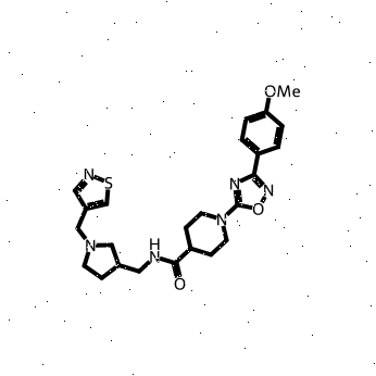 COc1ccc(-c2noc(N3CCC(C(=O)NCC4CCN(Cc5cnsc5)C4)CC3)n2)cc1